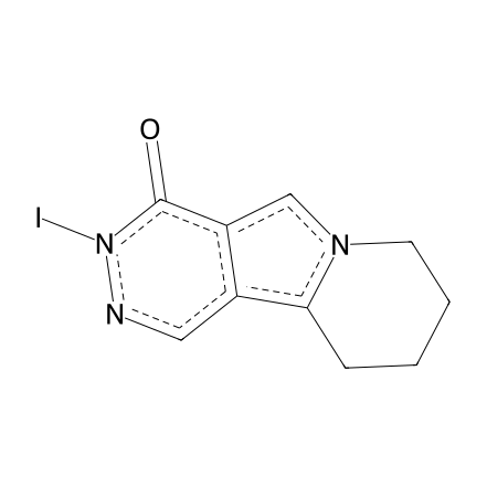 O=c1c2cn3c(c2cnn1I)CCCC3